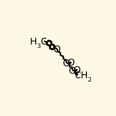 C=CC(=O)OCCC(=O)OCCCCCCOc1ccc2cc(C)ccc2c1